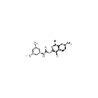 CC(C)c1nn(CC(=O)N[C@@H]2C[C@H](O)CN(C)C2)c(=O)c2ccc(C(F)(F)F)cc12